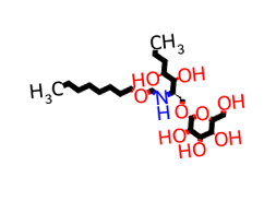 CCCCCCCCOCN[C@@H](CO[C@H]1OC(CO)[C@H](O)C(O)C1O)[C@H](O)[C@H](O)CCC